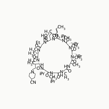 C/C=C/C[C@@H](C)[C@@H](O)[C@H]1C(=O)N[C@@H](CC)C(=O)N(C)[C@H](C)C(=O)N(C)[C@@H]([C@H](C)CCN2CCC(C#N)CC2)C(=O)N[C@@H](C(C)C)C(=O)N(C)[C@@H](CCC(C)C)C(=O)N[C@@H](C)C(=O)N[C@H](C)C(=O)N(C)[C@@H](CC(C)C)C(=O)N(C)[C@@H](CC(C)C)C(=O)N(C)[C@@H](C(C)C)C(=O)N1C